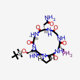 C[C@@H]1NC(=O)[C@H](CC(N)=O)NC(=O)CNC(=O)[C@H](CP)NC(=O)[C@@H]2CCCN2[C@H]2N[C@]23[C@@H](CO[Si](C)(C)C(C)(C)C)N3C1=O